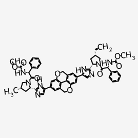 C=C[C@H]1C[C@@H](c2ncc(-c3cc4c5c(c3)OCc3cc(-c6cnc([C@@H]7C[C@H](C)CN7C(=O)[C@H](NC(=O)OC)c7ccccc7)[nH]6)cc(c3-5)OC4)[nH]2)N(C(=O)[C@H](NC(=O)OC)c2ccccc2)C1